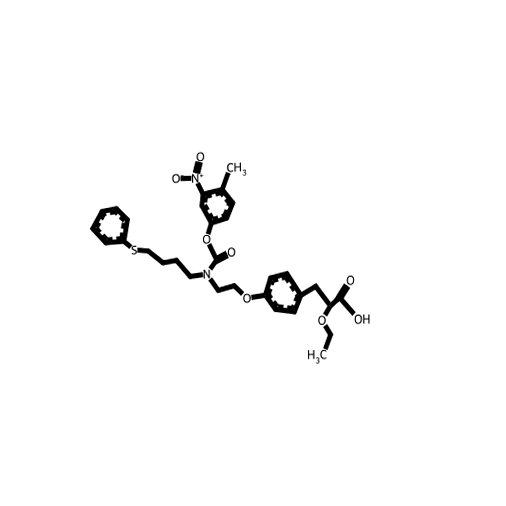 CCOC(Cc1ccc(OCCN(CCCCSc2ccccc2)C(=O)Oc2ccc(C)c([N+](=O)[O-])c2)cc1)C(=O)O